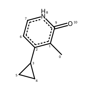 Cc1c(C2CC2)cc[nH]c1=O